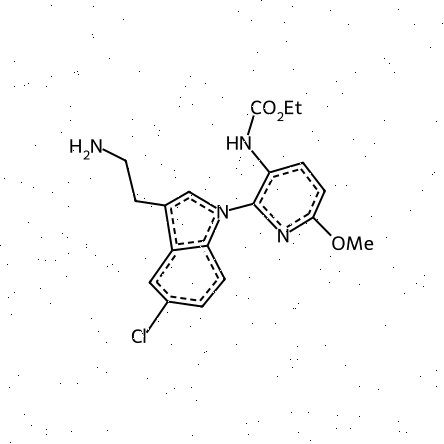 CCOC(=O)Nc1ccc(OC)nc1-n1cc(CCN)c2cc(Cl)ccc21